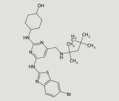 CC(C)(C)CC(C)(C)NCc1cc(Nc2nc3ccc(Br)cc3s2)nc(NC2CCC(O)CC2)n1